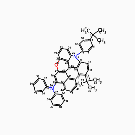 CC(C)(C)c1ccc(N2c3ccc(C(C)(C)C)cc3B3c4c(cccc42)Oc2cc(N(c4ccccc4)c4ccccc4)c4ccccc4c23)cc1